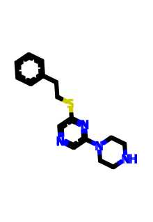 c1ccc(CCSc2cncc(N3CCNCC3)n2)cc1